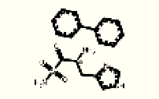 N[C@@H](Cc1c[nH]cn1)C(=O)S(N)(=O)=O.c1ccc(-c2ccccc2)cc1